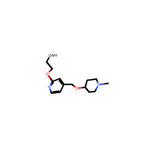 COCCOc1cc(COC2CCN(C)CC2)ccn1